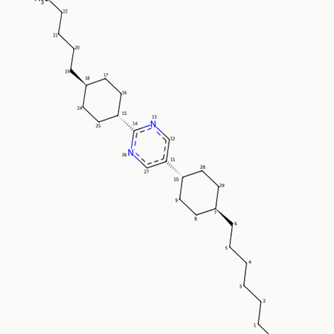 CCCCCCC[C@H]1CC[C@H](c2cnc([C@H]3CC[C@H](CCCCC)CC3)nc2)CC1